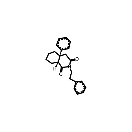 O=C1C[C@@]2(c3ccccc3)CCCC[C@H]2C(=O)N1CCc1ccccc1